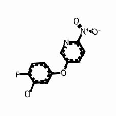 O=[N+]([O-])c1ccc(Oc2ccc(F)c(Cl)c2)cn1